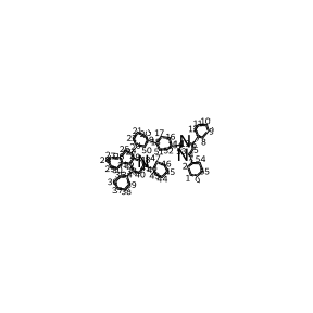 c1ccc(-c2cc(-c3ccccc3)nc(-c3ccc(-c4cccc(-c5cc6ccccc6c6c(-c7ccccc7)cc(-c7ccccc7)nc56)c4)cc3)n2)cc1